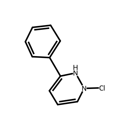 ClN1C=CC=C(c2ccccc2)N1